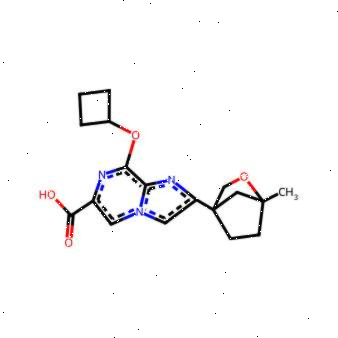 CC12CCC(c3cn4cc(C(=O)O)nc(OC5CCC5)c4n3)(CO1)C2